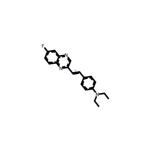 CCN(CC)c1ccc(/C=C/c2cnc3cc(F)ccc3n2)cc1